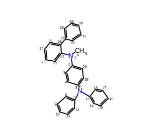 CN(c1ccc(N(c2ccccc2)c2ccccc2)cc1)c1ccccc1-c1ccccc1